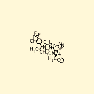 Cc1nc2c(N3C[C@@H](C)N(C(c4ccc(C(F)(F)F)c(Cl)c4)C(C)C)C[C@@H]3C)nc3nncn3c2n1C[C@@H]1CCCO1